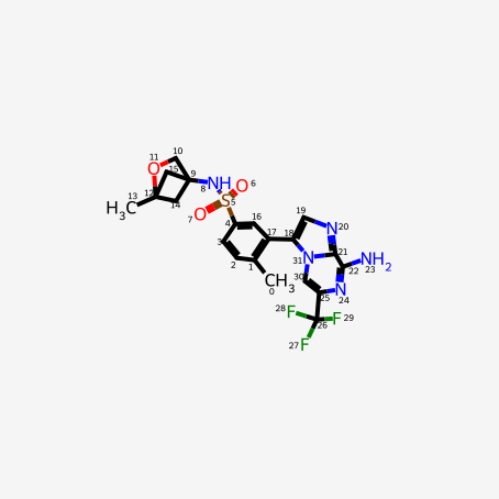 Cc1ccc(S(=O)(=O)NC23COC(C)(C2)C3)cc1-c1cnc2c(N)nc(C(F)(F)F)cn12